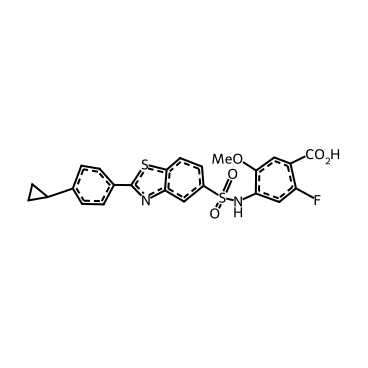 COc1cc(C(=O)O)c(F)cc1NS(=O)(=O)c1ccc2sc(-c3ccc(C4CC4)cc3)nc2c1